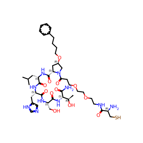 CC(C)C[C@H](NC(=O)[C@@H]1C[C@@H](OCCCCc2ccccc2)CN1C(=O)CCOCCOCCNC(=O)[C@@H](N)CS)C(=O)N[C@@H](Cc1cnc[nH]1)C(=O)N[C@@H](CO)C(=O)N[C@H](C(N)=O)[C@@H](C)O